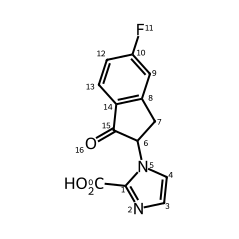 O=C(O)c1nccn1C1Cc2cc(F)ccc2C1=O